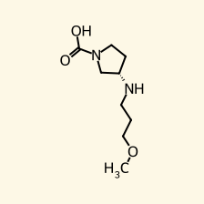 COCCCN[C@H]1CCN(C(=O)O)C1